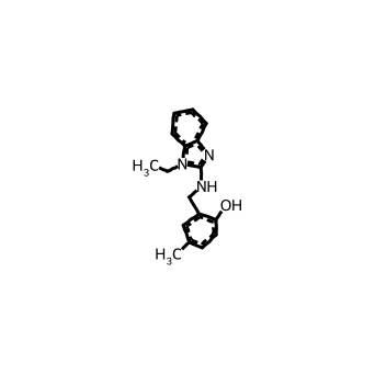 CCn1c(NCc2cc(C)ccc2O)nc2ccccc21